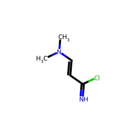 CN(C)C=CC(=N)Cl